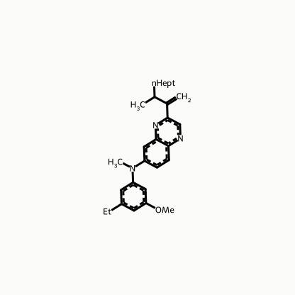 C=C(c1cnc2ccc(N(C)c3cc(CC)cc(OC)c3)cc2n1)C(C)CCCCCCC